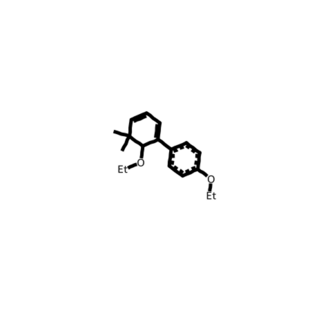 CCOc1ccc(C2=CC=CC(C)(C)C2OCC)cc1